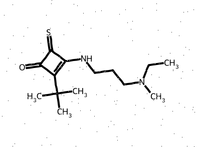 CCN(C)CCCNc1c(C(C)(C)C)c(=O)c1=S